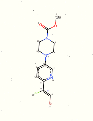 CC(C)(C)OC(=O)N1CCN(c2ccc(/C(F)=C/Br)nc2)CC1